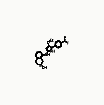 CCOc1cc(Nc2cccc3c2C[C@H](O)CC3)[nH]c1-c1ccc(C(F)F)cc1